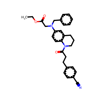 CCOC(=O)CN(Cc1ccccc1)c1ccc2c(c1)CCCN2C(=O)CCc1ccc(C#N)cc1